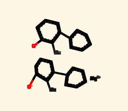 CC(C)(C)c1c([O-])cccc1-c1ccccc1.CC(C)(C)c1c([O-])cccc1-c1ccccc1.[Mg+2]